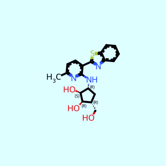 Cc1ccc(-c2nc3ccccc3s2)c(N[C@@H]2C[C@H](CO)[C@@H](O)[C@H]2O)n1